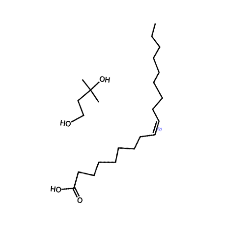 CC(C)(O)CCO.CCCCCCCC/C=C\CCCCCCCC(=O)O